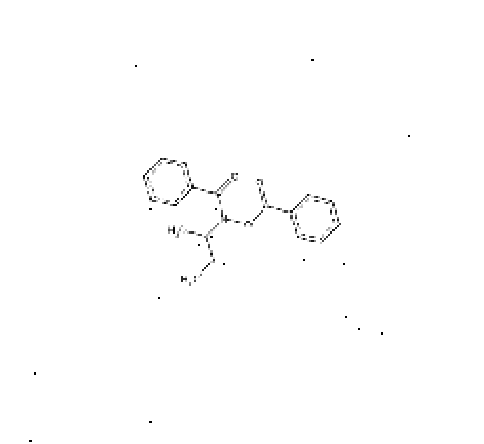 CCC(C)N(OC(=O)c1ccccc1)C(=O)c1ccccc1